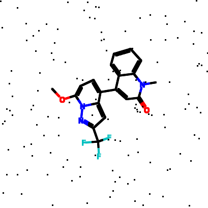 COc1ccc(-c2cc(=O)n(C)c3ccccc23)c2cc(C(F)(F)F)nn12